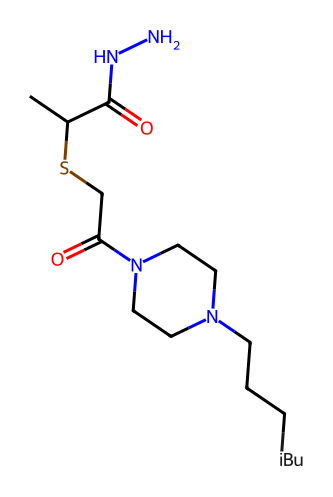 CCC(C)CCCN1CCN(C(=O)CSC(C)C(=O)NN)CC1